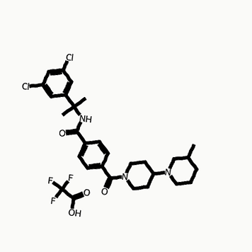 CC1CCCN(C2CCN(C(=O)c3ccc(C(=O)NC(C)(C)c4cc(Cl)cc(Cl)c4)cc3)CC2)C1.O=C(O)C(F)(F)F